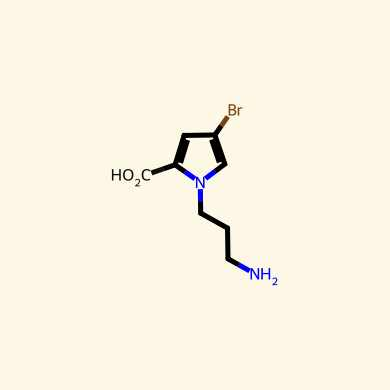 NCCCn1cc(Br)cc1C(=O)O